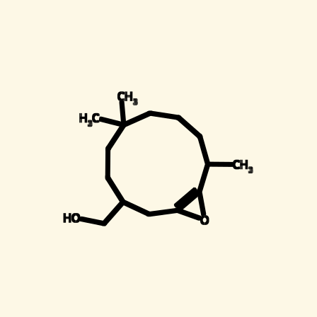 CC1CCCC(C)(C)CCC(CO)CC2=C1O2